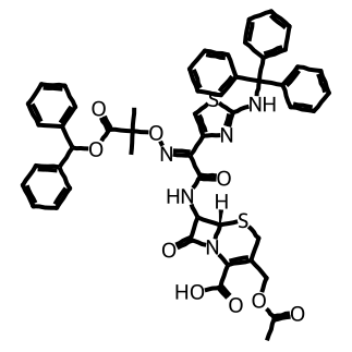 CC(=O)OCC1=C(C(=O)O)N2C(=O)C(NC(=O)C(=NOC(C)(C)C(=O)OC(c3ccccc3)c3ccccc3)c3csc(NC(c4ccccc4)(c4ccccc4)c4ccccc4)n3)[C@@H]2SC1